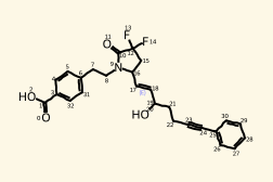 O=C(O)c1ccc(CCN2C(=O)C(F)(F)CC2/C=C/C(O)CCC#Cc2ccccc2)cc1